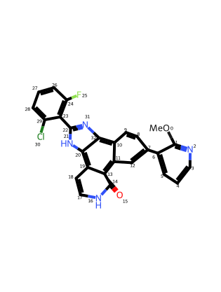 COc1ncccc1-c1ccc2c(c1)c1c(=O)[nH]ccc1c1[nH]c(-c3c(F)cccc3Cl)nc21